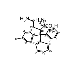 Cc1ccc(C(c2ccccc2)(c2ccccc2)C(CCN)C(N)C(=O)O)cc1